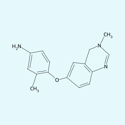 Cc1cc(N)ccc1Oc1ccc2c(c1)CN(C)C=N2